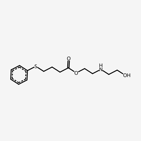 O=C(CCCSc1ccccc1)OCCNCCO